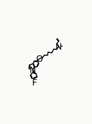 C=CCN(C)CCCCCCCOc1ccc2c(ccn2-c2ccc(F)cc2)c1